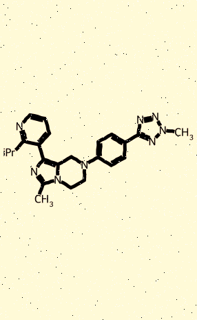 Cc1nc(-c2cccnc2C(C)C)c2n1CCN(c1ccc(-c3nnn(C)n3)cc1)C2